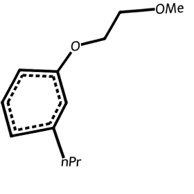 C[CH]Cc1cccc(OCCOC)c1